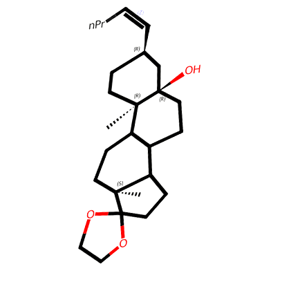 [CH2]CC/C=C\[C@@H]1CC[C@]2(C)C3CC[C@@]4(C)C(CCC45OCCO5)C3CC[C@@]2(O)C1